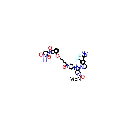 CNC(=O)N1CCc2c(c(N3CCCc4cc(-c5cnn(C)c5)c(C(F)F)cc43)nn2C2CCN(C(=O)CCCCCOc3cccc4c3CN(C3CCC(=O)NC3=O)C4=O)CC2)C1